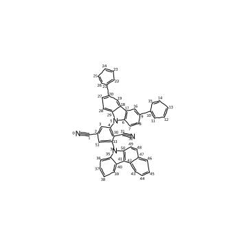 N#Cc1cc(-n2c3ccc(-c4ccccc4)cc3c3cc(-c4ccccc4)ccc32)c(C#N)c(-n2c3ccccc3c3c4ccccc4ccc32)c1